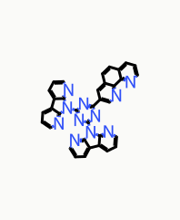 c1cnc2c(c1)ccc1cc(-c3nc(-n4c5ncccc5c5cccnc54)nc(-n4c5ncccc5c5cccnc54)n3)cnc12